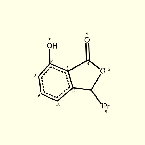 CC(C)C1OC(=O)c2c(O)cccc21